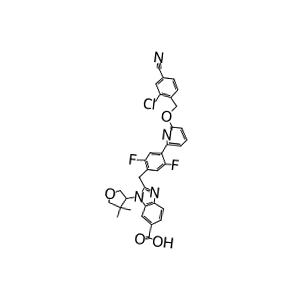 CC1(C)COCC1n1c(Cc2cc(F)c(-c3cccc(OCc4ccc(C#N)cc4Cl)n3)cc2F)nc2ccc(C(=O)O)cc21